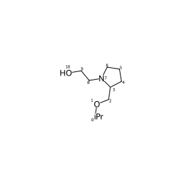 CC(C)OCC1CCCN1CCO